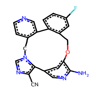 N#Cc1ncn2c1-c1cnc(N)c(c1)OCc1cc(F)ccc1-c1cnccc1C2